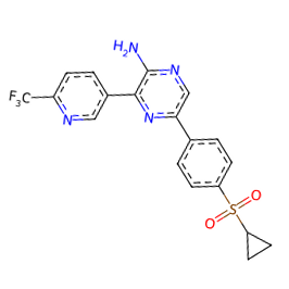 Nc1ncc(-c2ccc(S(=O)(=O)C3CC3)cc2)nc1-c1ccc(C(F)(F)F)nc1